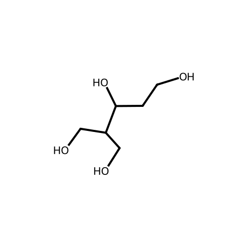 OCCC(O)C(CO)CO